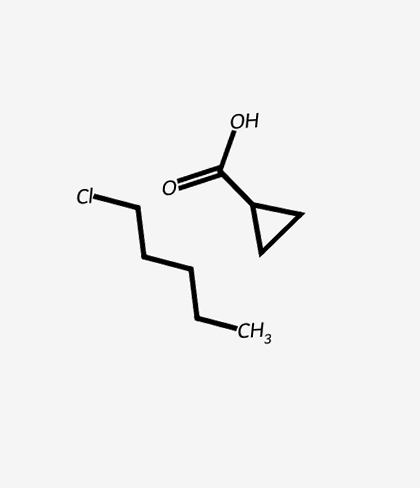 CCCCCCl.O=C(O)C1CC1